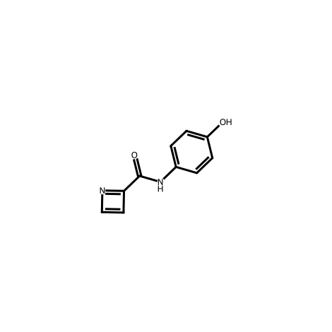 O=C(Nc1ccc(O)cc1)C1=NC=C1